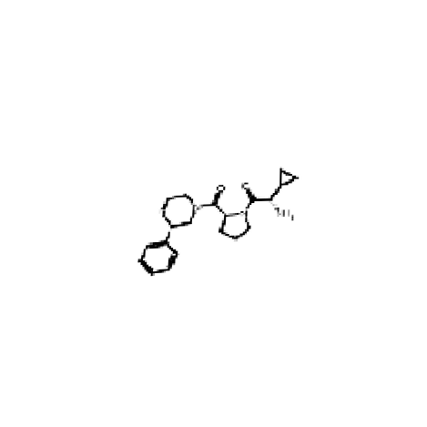 N[C@H](C(=O)N1CCC[C@H]1C(=O)N1CCO[C@H](c2ccccc2)C1)C1CC1